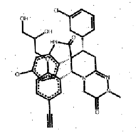 C#Cc1ccc(OCC(O)CO)c([C@H]2N3CC(=O)N(C)N=C3C[C@@H](C3C=CC=C(Cl)C3)[C@]23C(=O)Nc2cc(Cl)ccc23)c1